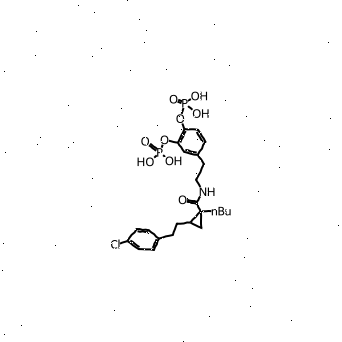 CCCCC1(C(=O)NCCc2ccc(OP(=O)(O)O)c(OP(=O)(O)O)c2)CC1CCc1ccc(Cl)cc1